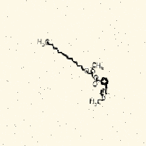 CCCCCCCCCCCCCCCCOCC(COC(=O)c1cccc(CN2[CH]N(CC)C=C2)c1)OCC